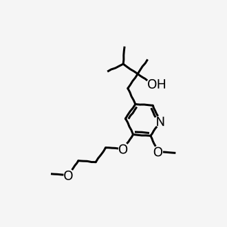 COCCCOc1cc(CC(C)(O)C(C)C)cnc1OC